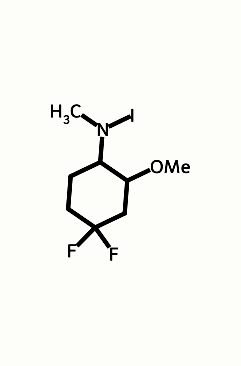 COC1CC(F)(F)CCC1N(C)I